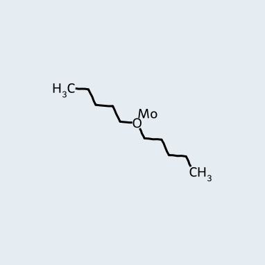 CCCCCOCCCCC.[Mo]